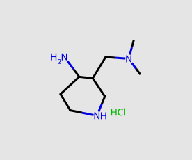 CN(C)CC1CNCCC1N.Cl